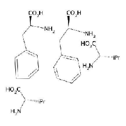 CC(C)[C@H](N)C(=O)O.CC(C)[C@H](N)C(=O)O.N[C@@H](Cc1ccccc1)C(=O)O.N[C@@H](Cc1ccccc1)C(=O)O